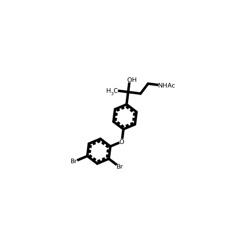 CC(=O)NCCC(C)(O)c1ccc(Oc2ccc(Br)cc2Br)cc1